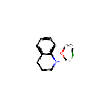 CC(C)OC=O.CF.c1ccc2c(c1)CCCN2